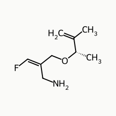 C=C(C)[C@H](C)OC/C(=C/F)CN